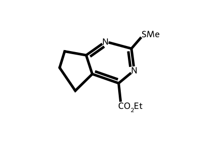 CCOC(=O)c1nc(SC)nc2c1CCC2